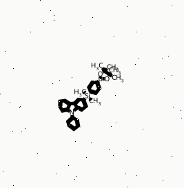 CC1(C)OB(c2ccc([Si](C)(C)c3ccc4c(c3)c3ccccc3n4-c3ccccc3)cc2)OC1(C)C